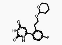 O=c1cc(-c2ccc(F)cc2CCOC2CCCCO2)[nH]c(=O)[nH]1